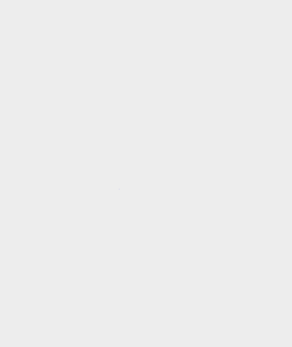 FC(F)Oc1cccc(C2COc3c(Br)cccc3N2)c1